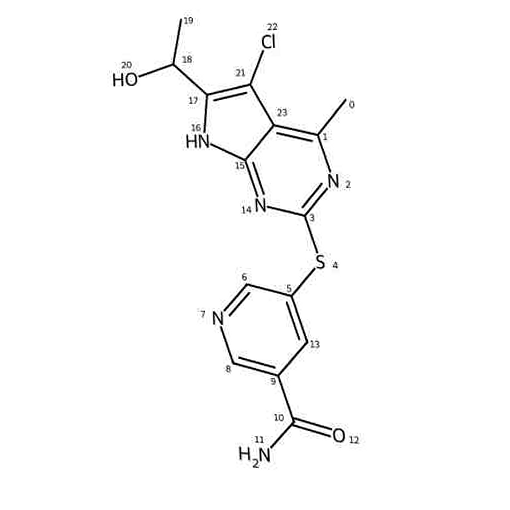 Cc1nc(Sc2cncc(C(N)=O)c2)nc2[nH]c(C(C)O)c(Cl)c12